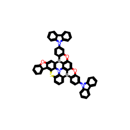 c1cc2c3c(c1)B1c4ccc(-n5c6ccccc6c6ccccc65)cc4Oc4cc5c6c(c41)N3c1c(cc3oc4ccccc4c3c1S2)B6c1ccc(-n2c3ccccc3c3ccccc32)cc1O5